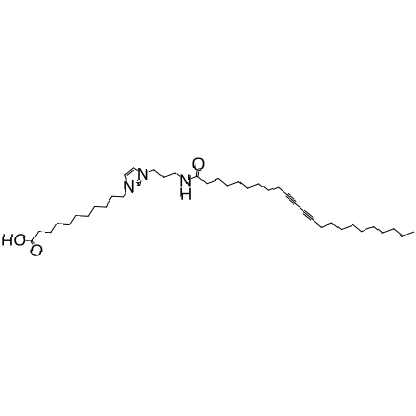 CCCCCCCCCCC#CC#CCCCCCCCCC(=O)NCCCn1cc[n+](CCCCCCCCCCC(=O)O)c1